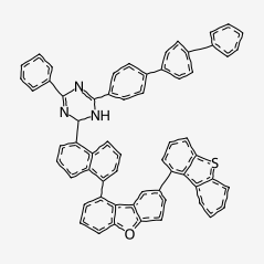 c1ccc(C2=NC(c3cccc4c(-c5cccc6oc7ccc(-c8cccc9sc%10ccccc%10c89)cc7c56)cccc34)NC(c3ccc(-c4ccc(-c5ccccc5)cc4)cc3)=N2)cc1